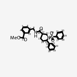 COC(=O)c1cccc(CNC(=O)C2CCC(c3ccccc3)N(S(=O)(=O)c3ccccc3)C2)c1